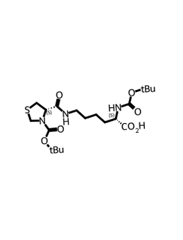 CC(C)(C)OC(=O)N[C@@H](CCCCNC(=O)[C@H]1CSCN1C(=O)OC(C)(C)C)C(=O)O